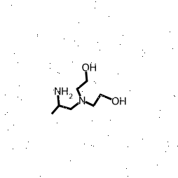 CC(N)CN(CCO)CCO